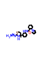 CC1(C2=CC=CC(NC(=O)C3=C(n4cccc4)C=CCC3)C2)CCSC(N=NN)N1